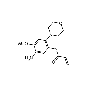 C=CC(=O)Nc1cc(N)c(OC)cc1N1CCOCC1